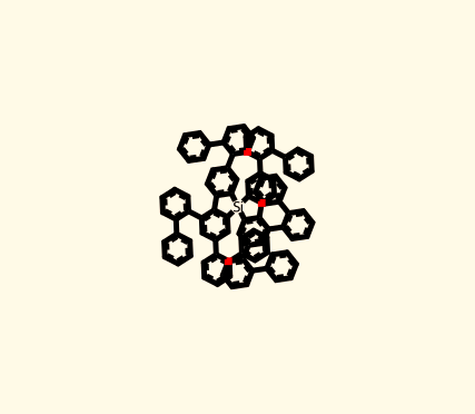 c1ccc(-c2ccccc2-c2ccc3c(c2)[Si]2(c4cc(-c5ccccc5-c5ccccc5)ccc4-c4c(-c5ccccc5-c5ccccc5)cc(-c5ccccc5-c5ccccc5)cc42)c2cc(-c4ccccc4-c4ccccc4)cc(-c4ccccc4-c4ccccc4)c2-3)cc1